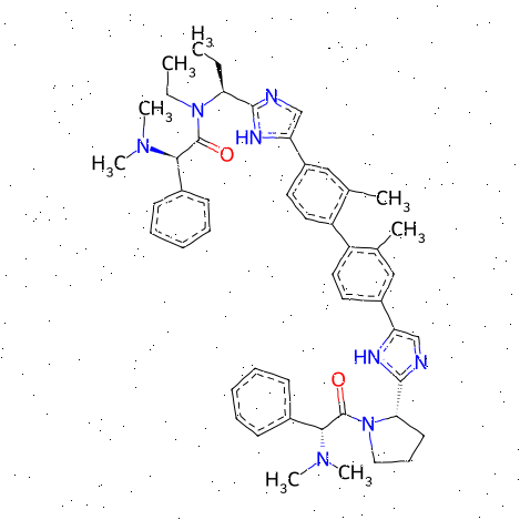 CC[C@@H](c1ncc(-c2ccc(-c3ccc(-c4cnc([C@@H]5CCCN5C(=O)[C@@H](c5ccccc5)N(C)C)[nH]4)cc3C)c(C)c2)[nH]1)N(CC)C(=O)[C@@H](c1ccccc1)N(C)C